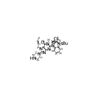 CC#CCn1c(N2CCNCC2)nc2nc(Nc3ccccc3N(C(=O)C(F)(F)F)C(C)(C)C)n(C)c(=O)c21